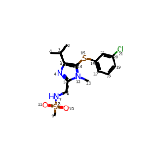 CC(C)c1nc(CNS(C)(=O)=O)n(C)c1Sc1cccc(Cl)c1